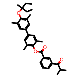 CCC(C)(CC)Oc1c(C)cc(-c2cc(C)c(OC(=O)c3cccc(C(=O)C(C)C)c3)c(C)c2)cc1C